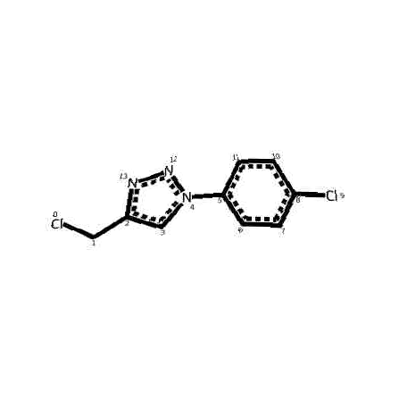 ClCc1cn(-c2ccc(Cl)cc2)nn1